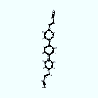 N#CC=Cc1ccc(-c2ccc(-c3ccc(C=CC#N)cc3)cc2)cc1